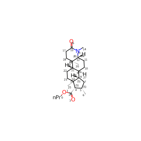 CCCOC(=O)[C@H]1[C@@H](C)C[C@H]2[C@@H]3CC[C@H]4N(C)C(=O)CC[C@]4(C)[C@H]3CC[C@@]21C